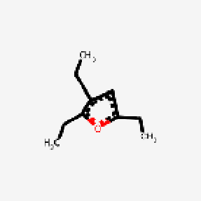 CCc1cc(CC)c(CC)o1